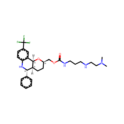 CN(C)CCNCCCNC(=O)OC[C@H]1CC[C@@H]2[C@H](O1)c1cc(C(F)(F)F)ccc1N[C@H]2c1ccccc1